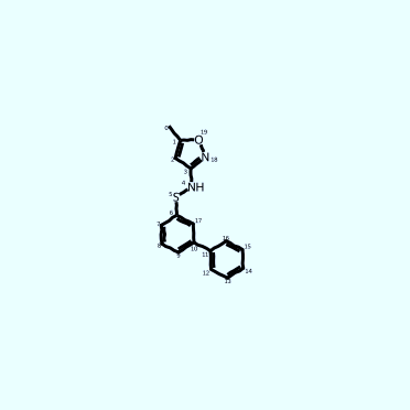 Cc1cc(NSc2cccc(-c3ccccc3)c2)no1